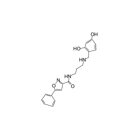 O=C(NCCCNCc1ccc(O)cc1O)c1cc(-c2ccccc2)on1